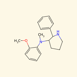 COc1ccccc1N(C)C1CCCNC1c1ccccc1